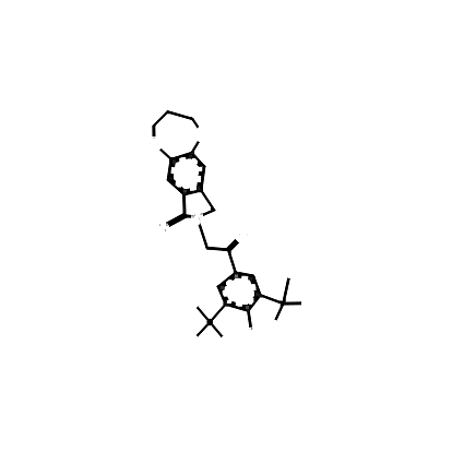 CC(C)(C)c1cc(C(=O)CN2Cc3cc4c(cc3C2=N)OCCCO4)cc(C(C)(C)C)c1O